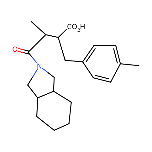 Cc1ccc(CC(C(=O)O)C(C)C(=O)N2CC3CCCCC3C2)cc1